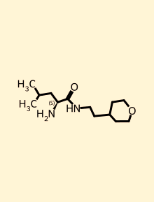 CC(C)C[C@H](N)C(=O)NCCC1CCOCC1